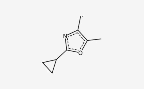 [CH2]c1nc(C2CC2)oc1C